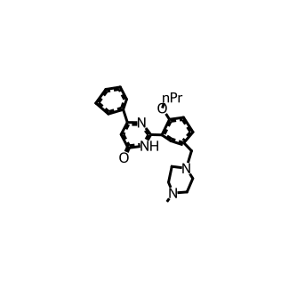 CCCOc1ccc(CN2CCN(C)CC2)cc1-c1nc(-c2ccccc2)cc(=O)[nH]1